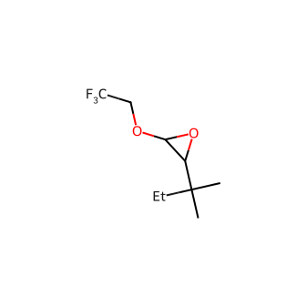 CCC(C)(C)C1OC1OCC(F)(F)F